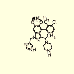 COc1cc2c(c(C(C)N3CCNCC3)nn2Cc2c[nH]cn2)c(-c2cccc(Cl)c2C)c1OC